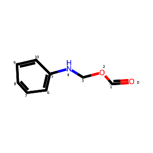 O=[C]OCNc1ccccc1